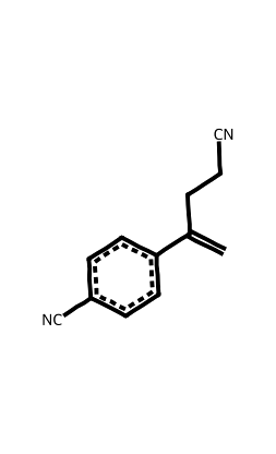 C=C(CCC#N)c1ccc(C#N)cc1